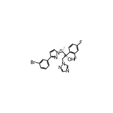 C[C@@H](n1ccc(-c2cccc(Br)c2)n1)[C@](O)(Cn1cncn1)c1ccc(F)cc1F